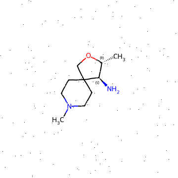 C[C@H]1OCC2(CCN(C)CC2)[C@@H]1N